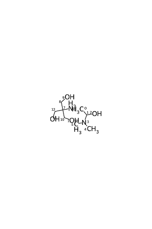 CC(O)N(C)C.NC(CO)(CO)CO